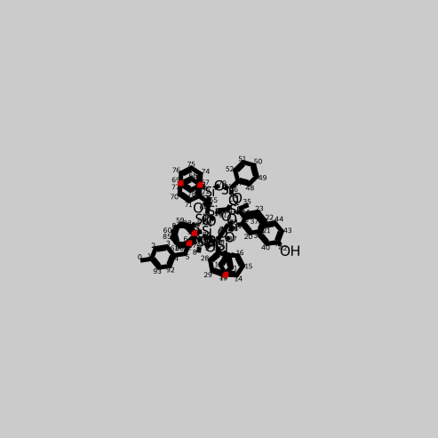 Cc1ccc(CC[Si]2(C)O[Si]3(c4ccccc4)O[Si]4(c5ccccc5)O[Si]5(c6ccccc6)O[Si](C)(CCc6ccc(O)cc6)O[Si]6(c7ccccc7)OC[Si]7(O[Si](c8ccccc8)(OC7(c7ccccc7)[Si](c7ccccc7)(O6)O[Si](c6ccccc6)(O3)O5)O2)O4)cc1